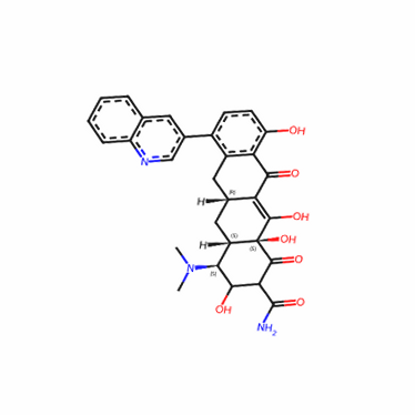 CN(C)[C@@H]1C(O)C(C(N)=O)C(=O)[C@@]2(O)C(O)=C3C(=O)c4c(O)ccc(-c5cnc6ccccc6c5)c4C[C@H]3C[C@@H]12